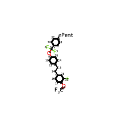 CCCCCc1ccc(C(F)(F)Oc2ccc(CCc3ccc(OC(F)(F)F)c(F)c3)cc2)cc1